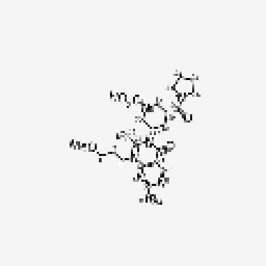 COCCCNc1nc(C(C)(C)C)ncc1C(=O)N(CC(C)C)[C@H]1C[C@@H](C(=O)N2CCCC2)CN(C(=O)O)C1